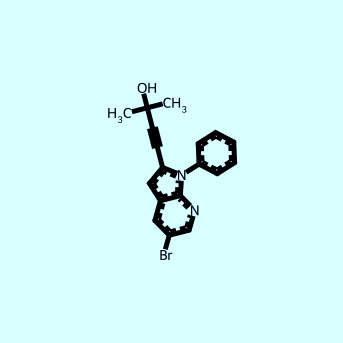 CC(C)(O)C#Cc1cc2cc(Br)cnc2n1-c1ccccc1